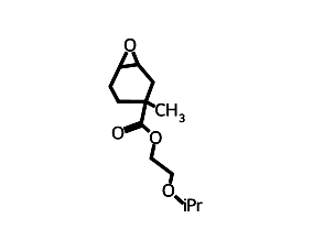 CC(C)OCCOC(=O)C1(C)CCC2OC2C1